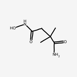 CC(C)([CH]C(=O)NO)C(N)=O